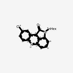 CCCCCCN1C(=O)c2c3cc(Cl)ccc3nc3cccc1c23